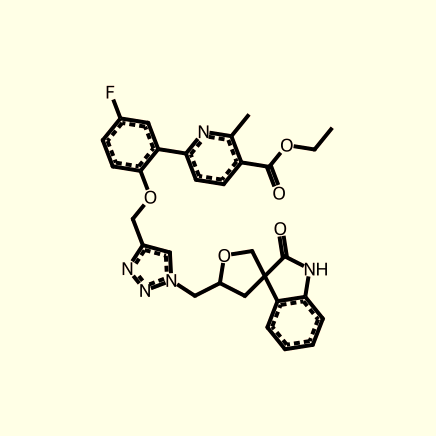 CCOC(=O)c1ccc(-c2cc(F)ccc2OCc2cn(CC3CC4(CO3)C(=O)Nc3ccccc34)nn2)nc1C